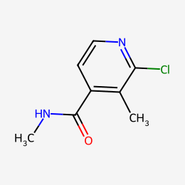 CNC(=O)c1ccnc(Cl)c1C